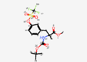 COC(=O)C(C)(Cc1cccc(OS(=O)(=O)C(F)(F)F)c1)NC(=O)OC(C)(C)C